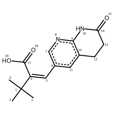 CC(C)(C)C(=Cc1cnc2c(c1)CCC(=O)N2)C(=O)O